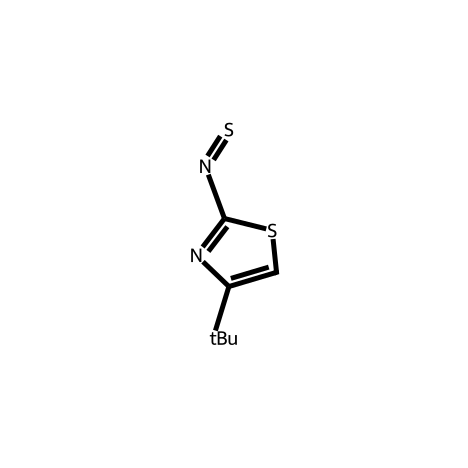 CC(C)(C)c1csc(N=S)n1